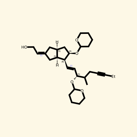 CCC#CCC(C)[C@@H](/C=C/[C@H]1[C@H]2C/C(=C/CO)C[C@H]2C[C@H]1OC1CCCCO1)OC1CCCCO1